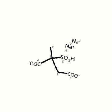 CC(CC(=O)[O-])(C(=O)[O-])S(=O)(=O)O.[Na+].[Na+]